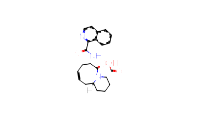 O=C(N[C@H]1C/C=C\C[C@H]2CCC[C@@H](C(=O)O)N2C1=O)c1nccc2ccccc12